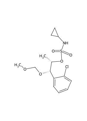 COCO[C@@H](c1ccccc1Cl)[C@H](C)OS(=O)(=O)NC1CC1